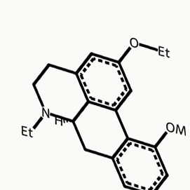 CCOc1cc2c3c(c1)-c1c(cccc1OC)C[C@H]3N(CC)CC2